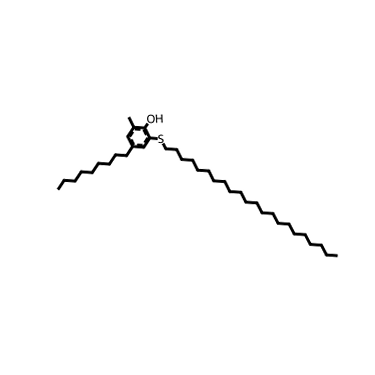 CCCCCCCCCCCCCCCCCCCCCCSc1cc(CCCCCCCCC)cc(C)c1O